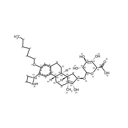 CCCCCCOc1cc2c(cc1[As]1CC[AsH]1)[C@H]1CC[C@]3(C)[C@@H](O)[C@H](OC4O[C@H](C(=O)O)[C@@H](O)[C@H](O)[C@H]4O)C[C@H]3[C@@H]1CC2